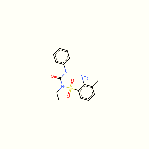 CCN(C(=O)Nc1ccccc1)S(=O)(=O)c1cccc(C)c1N